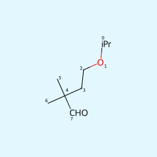 CC(C)OCCC(C)(C)C=O